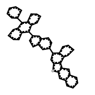 c1ccc(-c2c3ccccc3c(-c3ccc4cc(-c5cc6oc7cc8ccccc8cc7c6c6ccccc56)ccc4c3)c3ccccc23)cc1